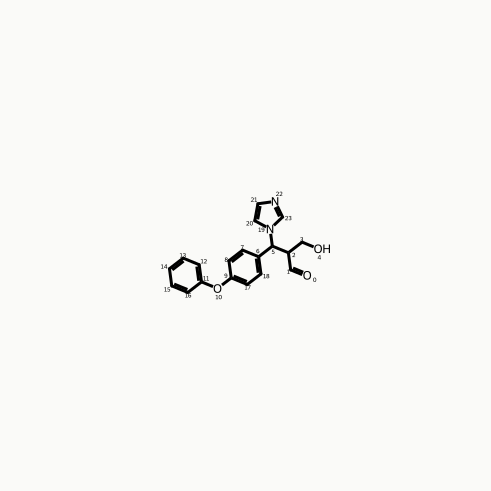 O=CC(CO)C(c1ccc(Oc2ccccc2)cc1)n1ccnc1